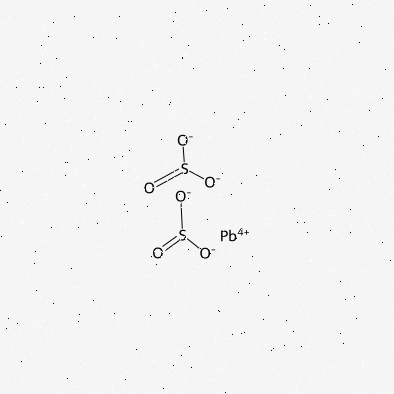 O=S([O-])[O-].O=S([O-])[O-].[Pb+4]